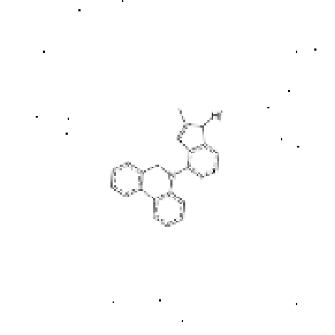 CC1=Cc2c(cccc2N2Cc3ccccc3-c3ccccc32)[CH]1[Hf]